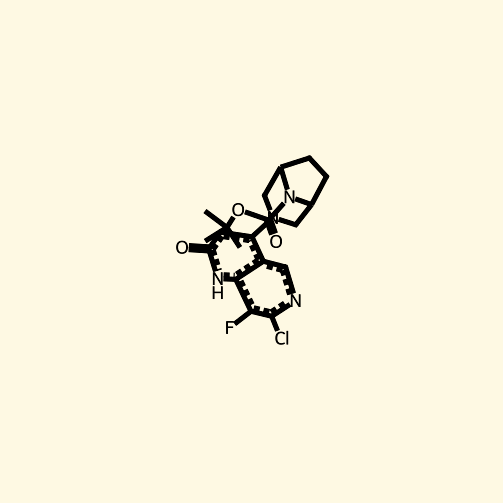 CC(C)(C)OC(=O)N1C2CCC1CN(c1cc(=O)[nH]c3c(F)c(Cl)ncc13)C2